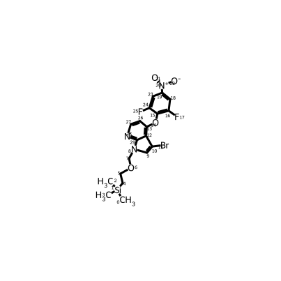 C[Si](C)(C)CCOCn1cc(Br)c2c(Oc3c(F)cc([N+](=O)[O-])cc3F)ccnc21